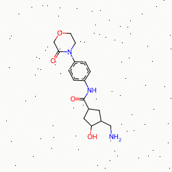 NCC1CC(C(=O)Nc2ccc(N3CCOCC3=O)cc2)CC1O